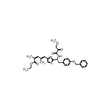 CCOC(=O)/C(C)=C\C(C)=C\c1csc([C@H](Cc2ccc(OCc3ccccc3)cc2)NC(=O)C(=O)COC)n1